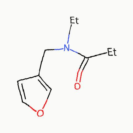 CCC(=O)N(CC)Cc1ccoc1